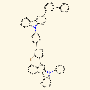 c1ccc(-c2cccc(-c3ccc4c(c3)c3ccccc3n4-c3ccc(-c4ccc5c(c4)Sc4cccc6c4c-5cc4c6c5ccccc5n4-c4ccccc4)cc3)c2)cc1